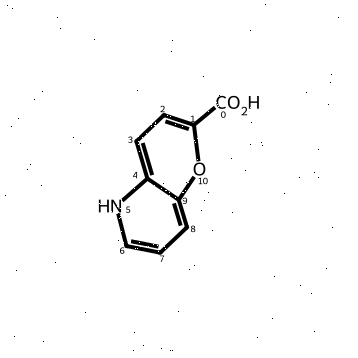 O=C(O)C1=CC=C2NC=CC=C2O1